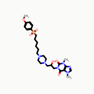 COc1ccc(S(=O)(=O)CCCCCCN2CCN(CC(O)Cn3c(=O)c4c(ncn4C)n(C)c3=O)CC2)cc1